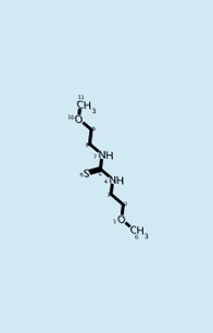 COCCNC(=S)NCCOC